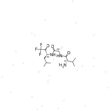 CC(C)C[C@H](NC(=O)[C@H](C)NC(=O)[C@@H](N)C(C)C)C(=O)C(F)(F)F